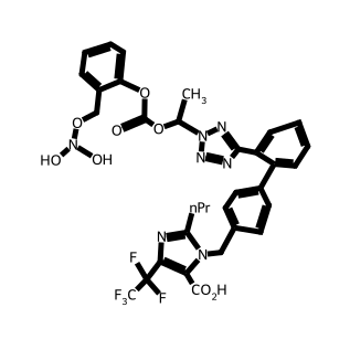 CCCc1nc(C(F)(F)C(F)(F)F)c(C(=O)O)n1Cc1ccc(-c2ccccc2-c2nnn(C(C)OC(=O)Oc3ccccc3CON(O)O)n2)cc1